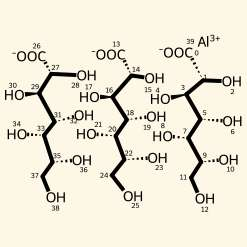 O=C([O-])[C@H](O)[C@H](O)[C@H](O)[C@@H](O)[C@H](O)CO.O=C([O-])[C@H](O)[C@H](O)[C@H](O)[C@@H](O)[C@H](O)CO.O=C([O-])[C@H](O)[C@H](O)[C@H](O)[C@@H](O)[C@H](O)CO.[Al+3]